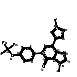 Cn1cc(-c2cn(-c3ccc(OC(F)(F)F)cc3)c(=O)c3c2ncn3C)cn1